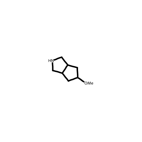 COC1CC2CNCC2C1